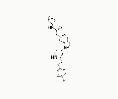 CCCNC(=O)Cc1ccc2c(c1)N(C1CCNC(CCc3ccc(F)cc3)C1)CC2